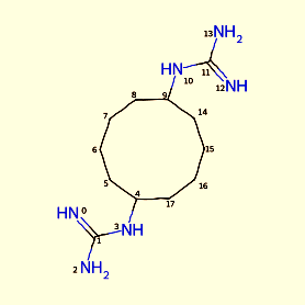 N=C(N)NC1CCCCC(NC(=N)N)CCCC1